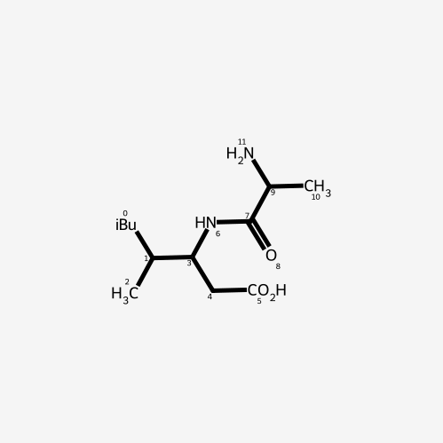 CCC(C)C(C)C(CC(=O)O)NC(=O)C(C)N